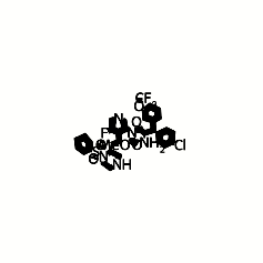 COC(=O)N(C(=O)[C@@H](N)[C@@H](c1ccc(Cl)cc1)c1cccc(OC(F)(F)F)c1)c1cncc(F)c1CC[C@H]1CNCCN1S(=O)(=O)c1ccccc1